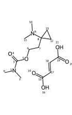 CN(C)C(=O)OCCC1(N(C)C)CC1.O=C(O)C=CC(=O)O